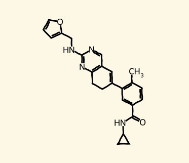 Cc1ccc(C(=O)NC2CC2)cc1C1=Cc2cnc(NCc3ccco3)nc2CC1